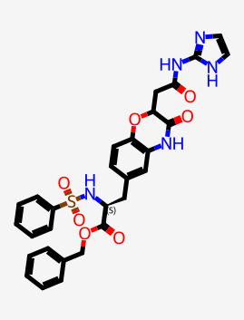 O=C(CC1Oc2ccc(C[C@H](NS(=O)(=O)c3ccccc3)C(=O)OCc3ccccc3)cc2NC1=O)Nc1ncc[nH]1